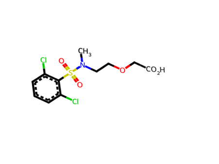 CN(CCOCC(=O)O)S(=O)(=O)c1c(Cl)cccc1Cl